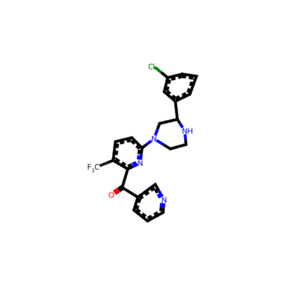 O=C(c1cccnc1)c1nc(N2CCNC(c3cccc(Cl)c3)C2)ccc1C(F)(F)F